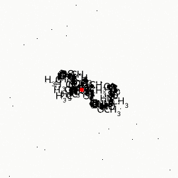 CC[C@H](C)[C@@H]([C@@H](CC(=O)N1CCC[C@H]1[C@H](OC)[C@@H](C)C(=O)N(C)CCc1cccc(NC(=O)[C@H](C)NC(=O)[C@H](C)NC(=O)CN2C(=O)C=CC2=O)c1)OC)N(C)C(=O)[C@@H](NC(=O)[C@@H]1CCCN(C)C1)C(C)C